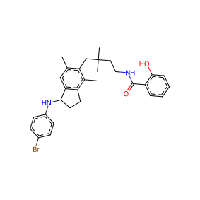 Cc1cc2c(c(C)c1CC(C)(C)CCNC(=O)c1ccccc1O)CCC2Nc1ccc(Br)cc1